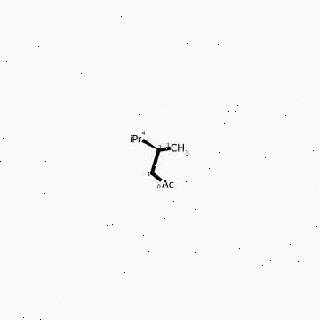 CC(=O)C[C@H](C)C(C)C